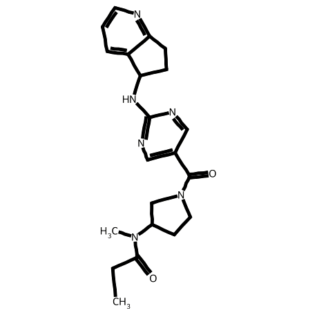 CCC(=O)N(C)C1CCN(C(=O)c2cnc(NC3CCc4ncccc43)nc2)C1